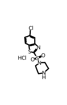 Cl.O=S(=O)(c1nc2cc(Cl)ccc2s1)N1CCNCC1